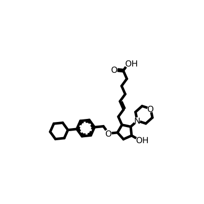 O=C(O)CCCC=CCC1C(OCc2ccc(C3CCCCC3)cc2)CC(O)C1N1CCOCC1